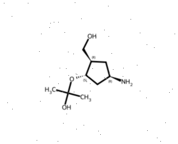 CC(C)(O)O[C@H]1C[C@H](N)C[C@@H]1CO